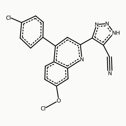 N#Cc1[nH]nnc1-c1cc(-c2ccc(Cl)cc2)c2ccc(OCl)cc2n1